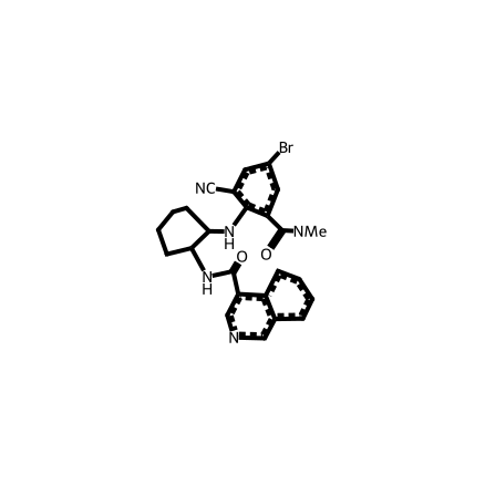 CNC(=O)c1cc(Br)cc(C#N)c1NC1CCCCC1NC(=O)c1cncc2ccccc12